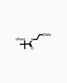 CCCCCC(C)(C)C(=O)SCCOC